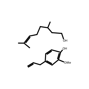 C=CCc1ccc(O)c(OC)c1.CC(C)=CCCC(C)CCO